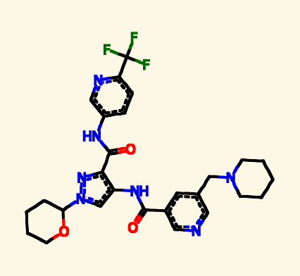 O=C(Nc1cn(C2CCCCO2)nc1C(=O)Nc1ccc(C(F)(F)F)nc1)c1cncc(CN2CCCCC2)c1